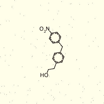 O=[N+]([O-])c1ccc(Cc2ccc(CCO)cc2)cc1